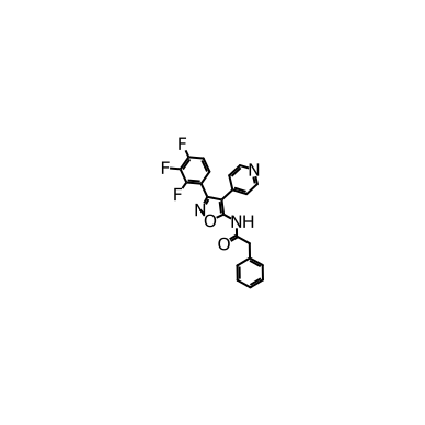 O=C(Cc1ccccc1)Nc1onc(-c2ccc(F)c(F)c2F)c1-c1ccncc1